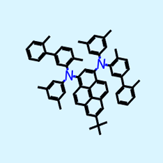 Cc1cc(C)cc(N(c2cc(-c3ccccc3C)ccc2C)c2cc(N(c3cc(C)cc(C)c3)c3cc(-c4ccccc4C)ccc3C)c3ccc4cc(C(C)(C)C)cc5ccc2c3c54)c1